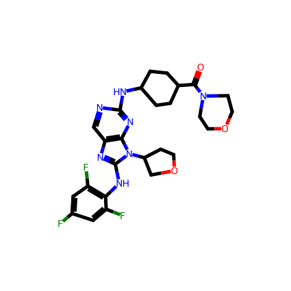 O=C(C1CCC(Nc2ncc3nc(Nc4c(F)cc(F)cc4F)n(C4CCOC4)c3n2)CC1)N1CCOCC1